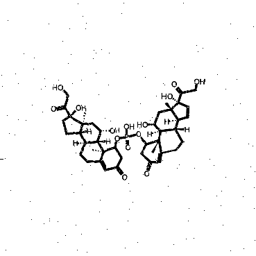 C[C@]12C[C@H](O)[C@H]3[C@@H](CCC4=CC(=O)CC(OP(=O)(O)OC5CC(=O)C=C6CC[C@@H]7[C@H]([C@@H](O)C[C@@]8(C)[C@H]7CC[C@]8(O)C(=O)CO)[C@]65C)[C@@]43C)[C@@H]1CC[C@]2(O)C(=O)CO